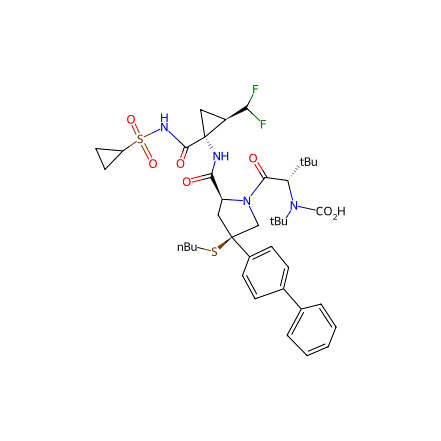 CCCCS[C@@]1(c2ccc(-c3ccccc3)cc2)C[C@@H](C(=O)N[C@]2(C(=O)NS(=O)(=O)C3CC3)C[C@H]2C(F)F)N(C(=O)[C@@H](N(C(=O)O)C(C)(C)C)C(C)(C)C)C1